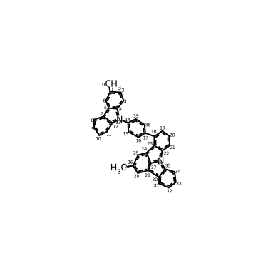 Cc1ccc2c(c1)c1ccccc1n2-c1ccc(-c2cccc3c2c2cc(C)cc4c5ccccc5n3c42)cc1